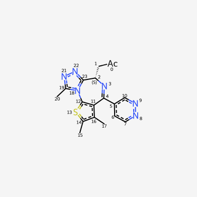 CC(=O)C[C@@H]1N=C(c2ccnnc2)c2c(sc(C)c2C)-n2c(C)nnc21